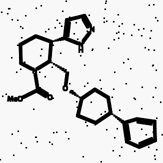 COC(=O)N1CCC[C@H](c2ccn[nH]2)[C@@H]1CO[C@H]1CC[C@@H](c2ccccc2)CC1